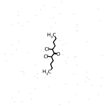 CCCCC(Cl)C(=O)C(Cl)CCCC